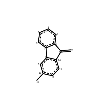 C=C1c2ccccc2-c2cc(C)ccc21